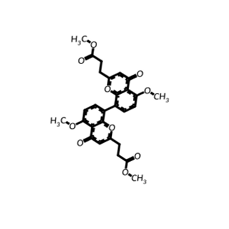 COC(=O)CCc1cc(=O)c2c(OC)ccc(-c3ccc(OC)c4c(=O)cc(CCC(=O)OC)oc34)c2o1